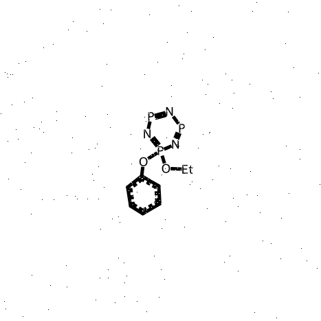 CCOP1(Oc2ccccc2)=NP=NP=N1